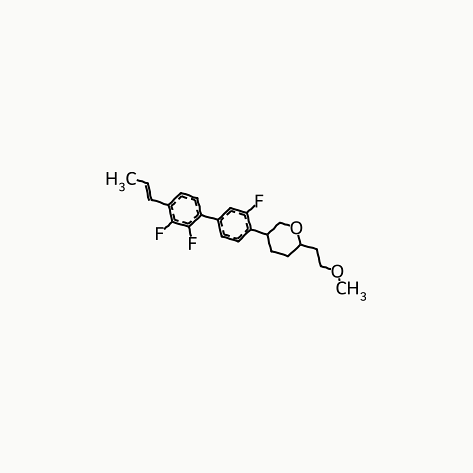 C/C=C/c1ccc(-c2ccc(C3CCC(CCOC)OC3)c(F)c2)c(F)c1F